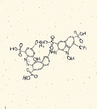 COc1ccc(/N=N\c2c(S(=O)(=O)O)cc3ccc(N=Nc4c(S(=O)(=O)O)cc5cc(S(=O)(=O)O)c(C)c6c5c4N6O)cc3c2O)c(S(=O)(=O)O)c1